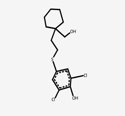 OCC1(CCSc2cc(Cl)c(O)c(Cl)c2)CCCCC1